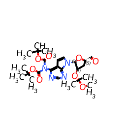 COC(C)(C)O[C@@H]1C[C@@H](C=O)O[C@H]1n1ccc2c(N(C(=O)OC(C)(C)C)C(=O)OC(C)(C)C)ncnc21